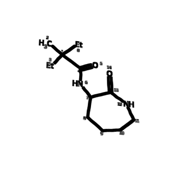 CCC(C)(CC)C(=O)NC1CCCCNC1=O